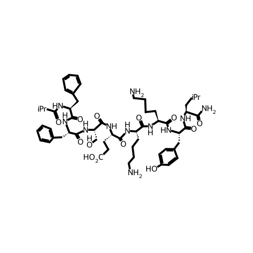 CC(C)C[C@H](NC(=O)[C@H](Cc1ccc(O)cc1)NC(=O)[C@H](CCCCN)NC(=O)[C@H](CCCCN)NC(=O)[C@H](CCC(=O)O)NC(=O)[C@H](CO)NC(=O)[C@H](Cc1ccccc1)NC(=O)[C@H](Cc1ccccc1)NC(=O)C(C)C)C(N)=O